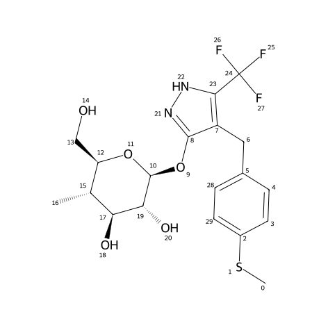 CSc1ccc(Cc2c(O[C@@H]3O[C@H](CO)[C@@H](C)[C@H](O)[C@H]3O)n[nH]c2C(F)(F)F)cc1